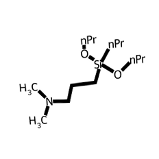 CCCO[Si](CCC)(CCCN(C)C)OCCC